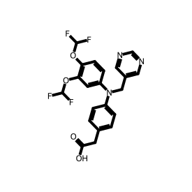 O=C(O)Cc1ccc(N(Cc2cncnc2)c2ccc(OC(F)F)c(OC(F)F)c2)cc1